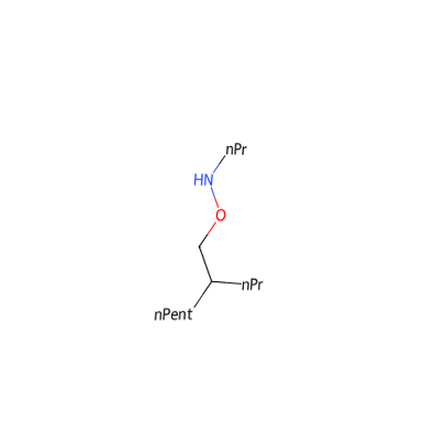 CCCCCC(CCC)CONCCC